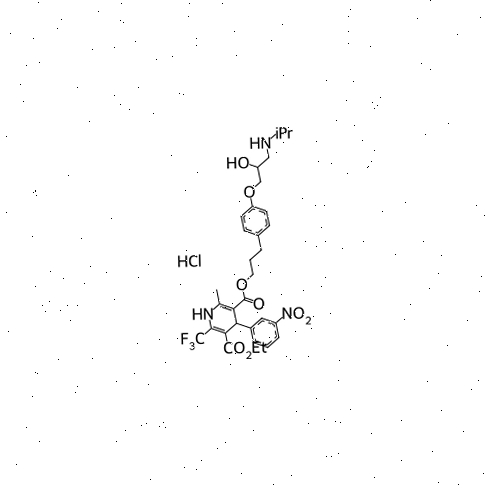 CCOC(=O)C1=C(C(F)(F)F)NC(C)=C(C(=O)OCCCc2ccc(OCC(O)CNC(C)C)cc2)C1c1cccc([N+](=O)[O-])c1.Cl